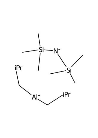 CC(C)[CH2][Al+][CH2]C(C)C.C[Si](C)(C)[N-][Si](C)(C)C